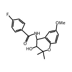 COc1ccc2c(c1)C(NC(=O)c1ccc(F)cc1)C(O)C(C)(C)O2